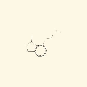 COCOc1cccc2c1C(C)OC2